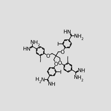 N=C(N)c1ccc(OCC(COc2ccc(C(=N)N)cc2I)(COc2ccc(C(=N)N)cc2I)COc2ccc(C(=N)N)cc2I)c(I)c1